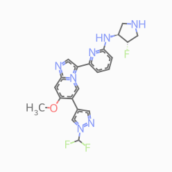 COc1cc2ncc(-c3cccc(N[C@H]4CNC[C@@H]4F)n3)n2cc1-c1cnn(C(F)F)c1